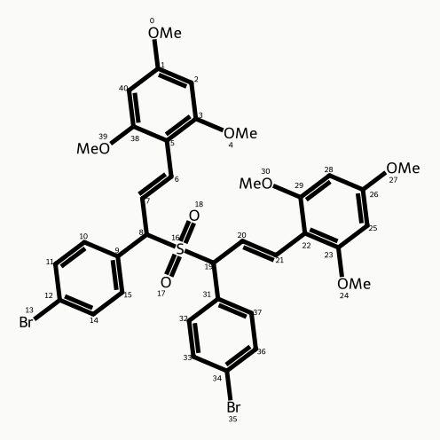 COc1cc(OC)c(C=CC(c2ccc(Br)cc2)S(=O)(=O)C(C=Cc2c(OC)cc(OC)cc2OC)c2ccc(Br)cc2)c(OC)c1